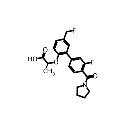 C[C@H](Oc1ccc(CF)cc1-c1ccc(C(=O)N2CCCC2)c(F)c1)C(=O)O